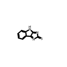 S=C1N=c2[nH]c3ccccc3c2=N1